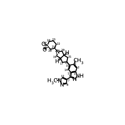 Cc1cc2[nH]nc(-c3cnn(C)c3)c2cc1C1C[C@@H]2CN([C@@H]3CCCS(=O)(=O)C3)C[C@@H]2C1